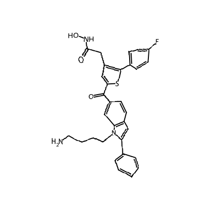 NCCCCn1c(-c2ccccc2)cc2ccc(C(=O)c3cc(CC(=O)NO)c(-c4ccc(F)cc4)s3)cc21